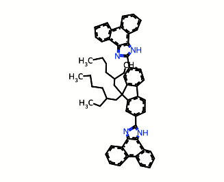 CCCCC(CC)CC1(CC(CC)CCCC)c2cc(-c3nc4c5ccccc5c5ccccc5c4[nH]3)ccc2-c2ccc(-c3nc4c5ccccc5c5ccccc5c4[nH]3)cc21